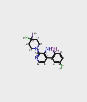 Nc1c(-c2cc(F)ccc2P)ccnc1N1CCC(F)(I)CC1